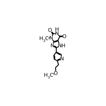 COCCc1ccc(-c2nc3c([nH]2)c(=O)[nH]c(=O)n3C)cn1